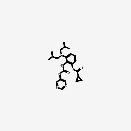 CC(C)CN(CC(C)C)c1cccc(OC(=O)C2CC2)c1NC(=O)Nc1cncnc1